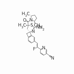 C[C@@H]1CC[C@@H](C)N1C(=O)[C@@]1(C)C[C@]2(Cc3ccc(/C=C(\F)c4ccc(C#N)cn4)cc32)N=C(N)S1